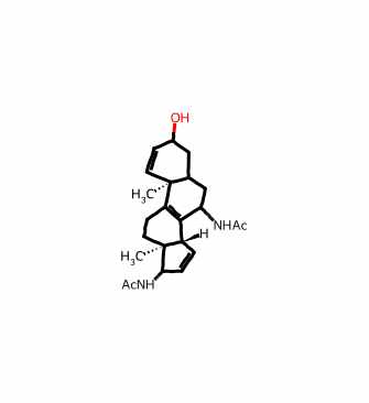 CC(=O)NC1CC2CC(O)C=C[C@]2(C)C2=C1[C@@H]1C=CC(NC(C)=O)[C@@]1(C)CC2